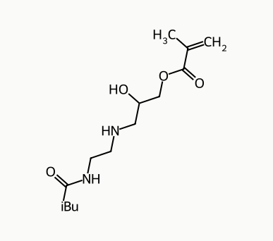 C=C(C)C(=O)OCC(O)CNCCNC(=O)C(C)CC